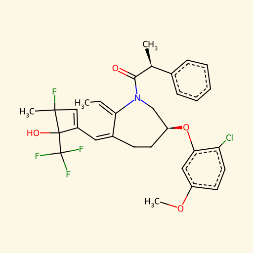 C/C=C1\C(=C/C2=CC(C)(F)C2(O)C(F)(F)F)CC[C@H](Oc2cc(OC)ccc2Cl)CN1C(=O)[C@@H](C)c1ccccc1